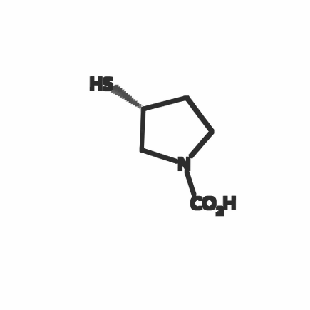 O=C(O)N1CC[C@@H](S)C1